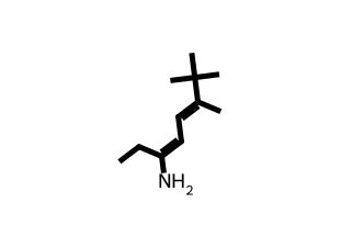 CC/C(N)=C\C=C(/C)C(C)(C)C